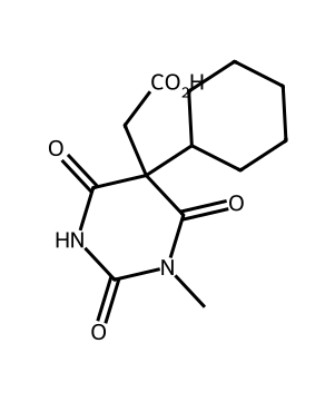 CN1C(=O)NC(=O)C(CC(=O)O)(C2CCCCC2)C1=O